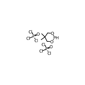 CC1(C)COPOC1.O=P(Cl)(Cl)Cl.O=P(Cl)(Cl)Cl